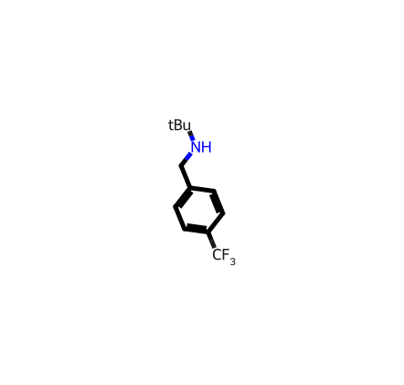 CC(C)(C)NCc1ccc(C(F)(F)F)cc1